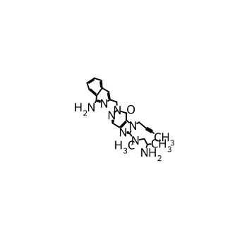 CC#CCn1c(N(C)CC(C)N)nc2cnn(Cc3cc4ccccc4c(N)n3)c(=O)c21